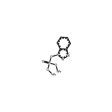 CCCOP(=O)(OCCC)On1nnc2ccccc21